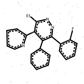 CCc1nnc(-c2ccccc2F)c(-c2ccccc2)c1-c1ccccn1